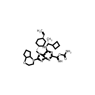 C=C[C@H]1CC[C@H](Cn2c(N3CCOC4CCCC43)nc3nc(C(=N)OC(N)=O)nc(N[C@H](C)C4CCC4)c32)CC1